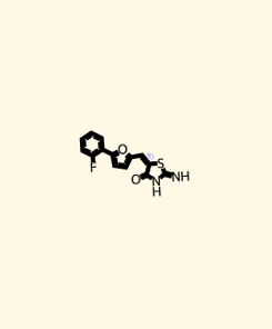 N=C1NC(=O)/C(=C\c2ccc(-c3ccccc3F)o2)S1